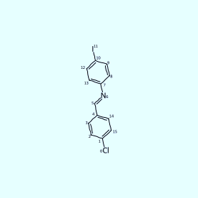 Clc1ccc(/C=N/c2ccc(I)cc2)cc1